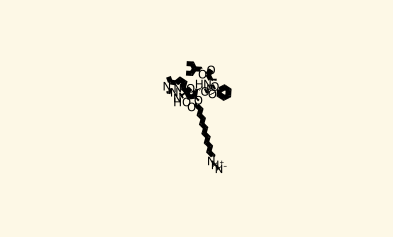 CCC(CC)COC(=O)[C@@H](C)NP(=O)(OC[C@H]1O[C@@](C#N)(c2ccc3c(C)ncnn23)[C@H](O)[C@@H]1OC(=O)CCCCCCCCCCCN=[N+]=[N-])Oc1ccccc1